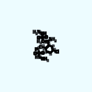 CC(C)S(=O)(=O)NN.CS(=O)(=O)NN.NNc1cc(Cl)ccc1Cl